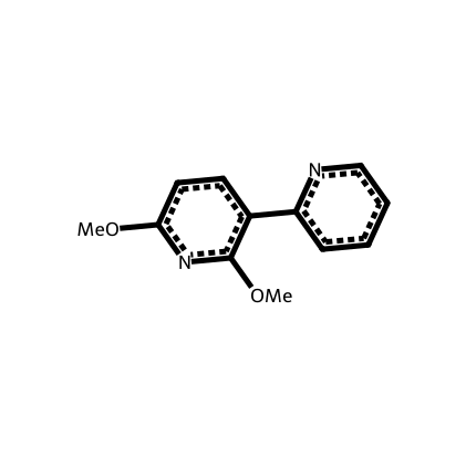 COc1ccc(-c2ccccn2)c(OC)n1